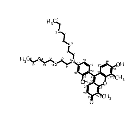 CCSCCSCCN(CCSCCSCC)c1ccc(-c2c3ccc(=O)c(C)c-3oc3c(C)c(O)ccc23)c(C)c1